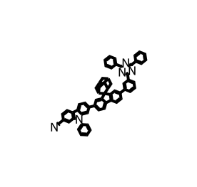 N#Cc1ccc2c3ccc(-c4ccc5c(c4)C4(c6cc(-c7cccc(-c8nc(-c9ccccc9)nc(-c9ccccc9)n8)c7)ccc6-5)C5CC6CC(C5)CC4C6)cc3n(-c3ccccc3)c2c1